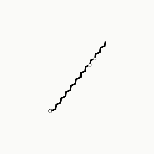 CCCCCOCOCCC=CCCCCCCCCCCCl